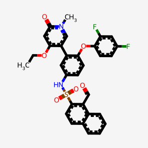 CCOc1cc(=O)n(C)cc1-c1cc(NS(=O)(=O)c2ccc3ccccc3c2C=O)ccc1Oc1ccc(F)cc1F